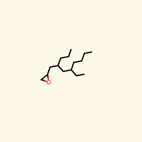 CCCCC(CC)CC(CCC)CC1CO1